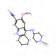 COc1cc2c(NC3CCN(C)CC3)c3c(nc2cc1C#N)CCCC3